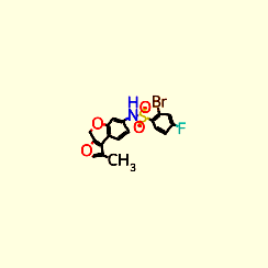 Cc1coc2c1-c1ccc(NS(=O)(=O)c3ccc(F)cc3Br)cc1OC2